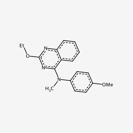 CCOc1nc(N(C)c2ccc(OC)cc2)c2ccccc2n1